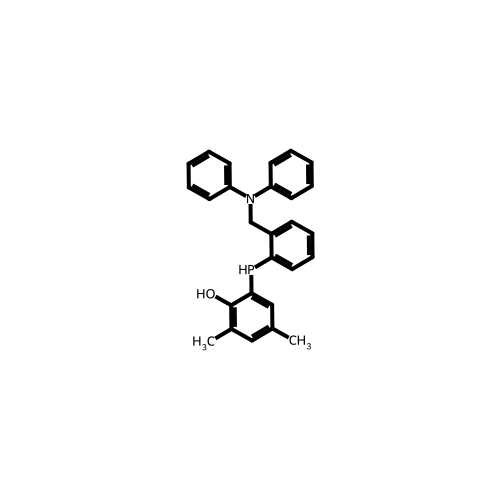 Cc1cc(C)c(O)c(Pc2ccccc2CN(c2ccccc2)c2ccccc2)c1